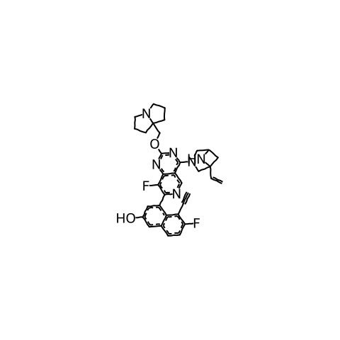 C#Cc1c(F)ccc2cc(O)cc(-c3ncc4c(N5CC6CC(C=C)(C5)N6)nc(OCC56CCCN5CCC6)nc4c3F)c12